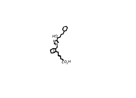 O=C(O)CCC=CCC1C2CCC(O2)C1Cn1cnc(C(O)CCCC2CCCCC2)c1